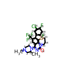 CC1CN(C)CCN1c1nc(=O)n2c3c4c(c(C(F)(F)F)cc13)-c1cc(Cl)c(F)cc1S4(F)CCC2